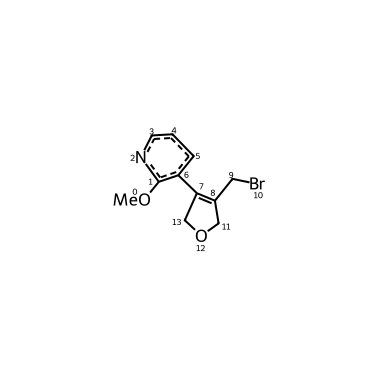 COc1ncccc1C1=C(CBr)COC1